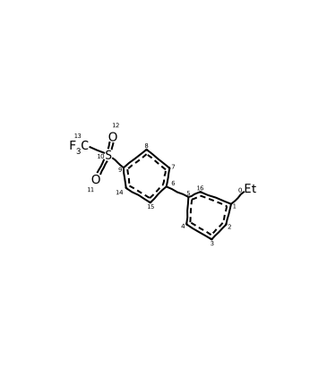 CCc1cccc(-c2ccc(S(=O)(=O)C(F)(F)F)cc2)c1